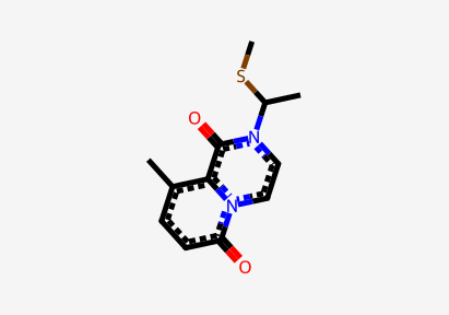 CSC(C)n1ccn2c(=O)ccc(C)c2c1=O